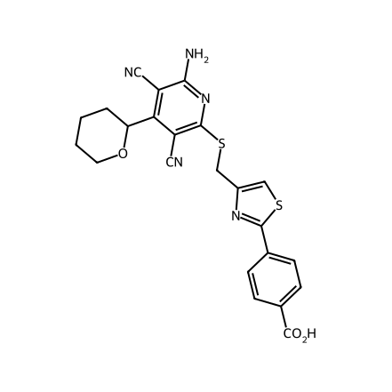 N#Cc1c(N)nc(SCc2csc(-c3ccc(C(=O)O)cc3)n2)c(C#N)c1C1CCCCO1